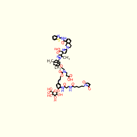 Cc1c(-c2ccc(N3CCc4cccc(C(=O)Nc5nc6ccccc6s5)c4C3)nc2C(=O)O)cnn1CC12CC3(C)CC(C)(C1)CC(OCCN(CCC(=O)O)C(=O)OC/C=C/c1ccc(O[C@@H]4O[C@H](C(=O)O)[C@@H](O)[C@H](O)[C@H]4O)c(NC(=O)CCNC(=O)CCCCCN4C(=O)C=CC4=O)c1)(C3)C2